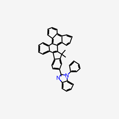 CC1(C)c2cc(-c3nc4ccccc4n3-c3ccccc3)ccc2-c2c1c1c3ccccc3c3ccccc3c1c1ccccc21